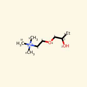 CCC(O)COCC[N+](C)(C)C